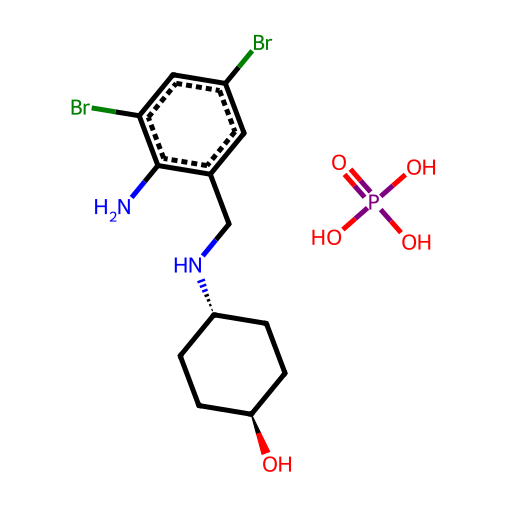 Nc1c(Br)cc(Br)cc1CN[C@H]1CC[C@H](O)CC1.O=P(O)(O)O